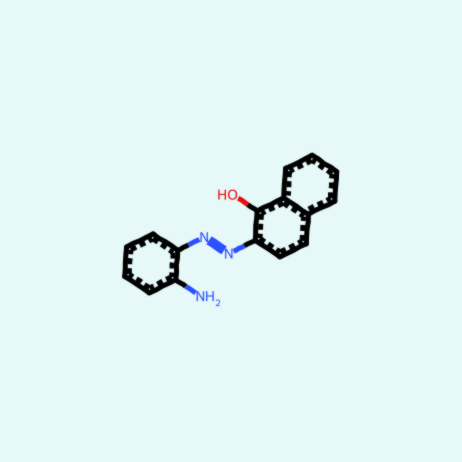 Nc1ccccc1N=Nc1ccc2ccccc2c1O